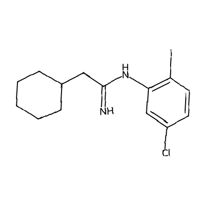 N=C(CC1CCCCC1)Nc1cc(Cl)ccc1I